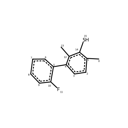 Cc1ccc(-c2ccccc2F)c(C)c1S